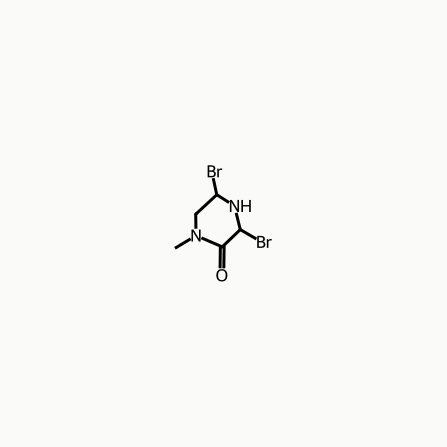 CN1CC(Br)NC(Br)C1=O